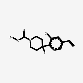 C=Cc1cnc(C2(F)CCN(C(=O)OC(C)(C)C)CC2)c(Cl)c1